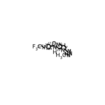 Cn1nnnc1-c1ccc2cnc(NC(=O)C3CCN(CCC(F)(F)F)CC3)cc2n1